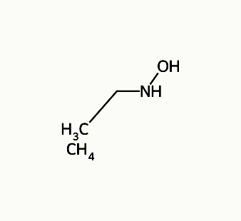 C.CCNO